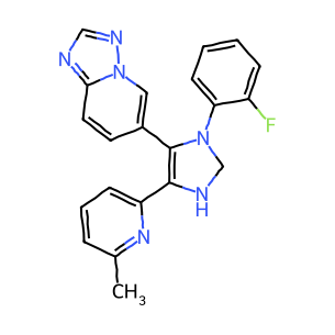 Cc1cccc(C2=C(c3ccc4ncnn4c3)N(c3ccccc3F)CN2)n1